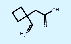 C=CC1(CC(=O)O)CCC1